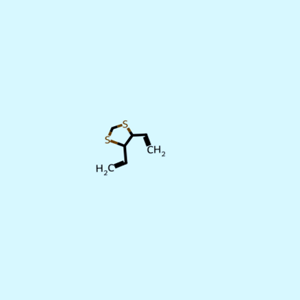 C=CC1SCSC1C=C